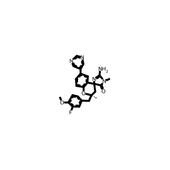 COc1ccc(C[C@]2(C)CC3(N=C(N)N(C)C3=O)c3cc(-c4cncnc4)ccc3O2)cc1F